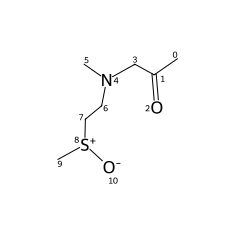 CC(=O)CN(C)CC[S+](C)[O-]